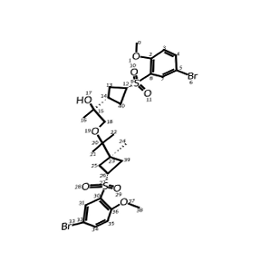 COc1ccc(Br)cc1S(=O)(=O)[C@H]1C[C@@H](C(C)(O)COC(C)(C)[C@]2(C)C[C@@H](S(=O)(=O)c3cc(Br)ccc3OC)C2)C1